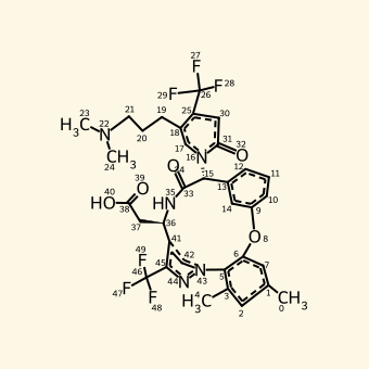 Cc1cc(C)c2c(c1)Oc1cccc(c1)[C@@H](n1cc(CCCN(C)C)c(C(F)(F)F)cc1=O)C(=O)N[C@H](CC(=O)O)c1cn-2nc1C(F)(F)F